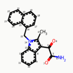 Cc1c(C(=O)C(N)=O)c2[c]cccc2n1Cc1cccc2ccccc12